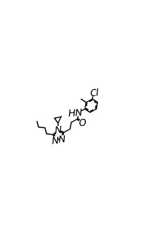 CCCCc1nnc(CCC(=O)Nc2cccc(Cl)c2C)n1C1CC1